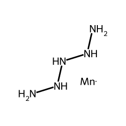 NNNNN.[Mn]